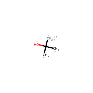 CC(C)(C)O.[Cr]